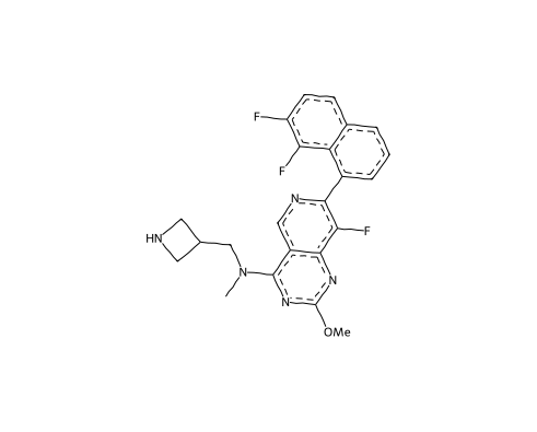 COc1nc(N(C)CC2CNC2)c2cnc(-c3cccc4ccc(F)c(F)c34)c(F)c2n1